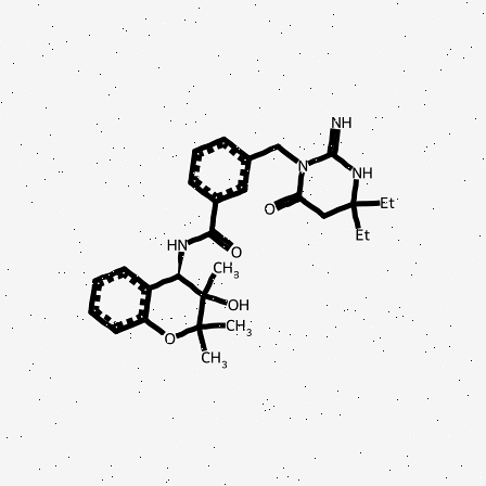 CCC1(CC)CC(=O)N(Cc2cccc(C(=O)N[C@@H]3c4ccccc4OC(C)(C)C3(C)O)c2)C(=N)N1